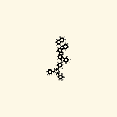 c1ccc(-c2nc(-c3ccccc3)nc(-c3ccc(-n4c5ccccc5c5c6oc7c(ccc8c7c7ccccc7n8-c7cccc8ccccc78)c6ccc54)cc3)n2)cc1